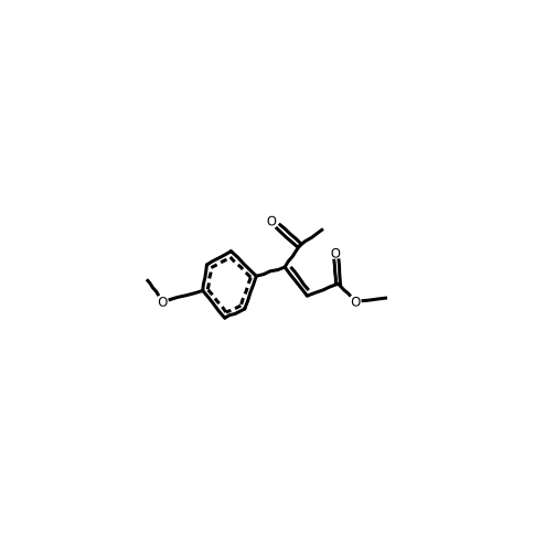 COC(=O)C=C(C(C)=O)c1ccc(OC)cc1